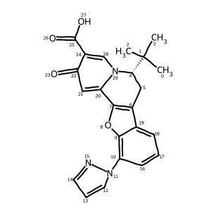 CC(C)(C)[C@@H]1Cc2c(oc3c(-n4cccn4)cccc23)-c2cc(=O)c(C(=O)O)cn21